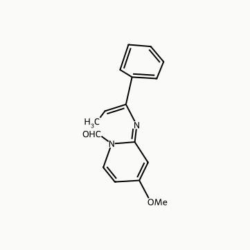 C/C=C(\N=c1\cc(OC)ccn1C=O)c1ccccc1